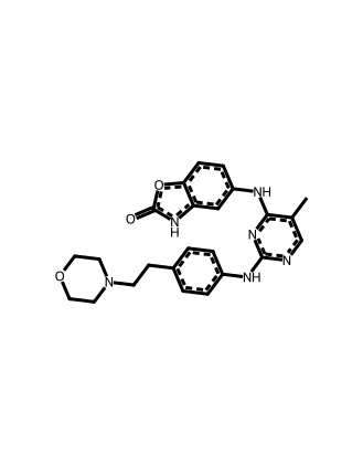 Cc1cnc(Nc2ccc(CCN3CCOCC3)cc2)nc1Nc1ccc2oc(=O)[nH]c2c1